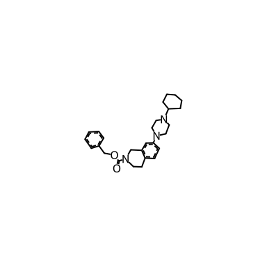 O=C(OCc1ccccc1)N1CCc2ccc(N3CCN(C4CCCCC4)CC3)cc2C1